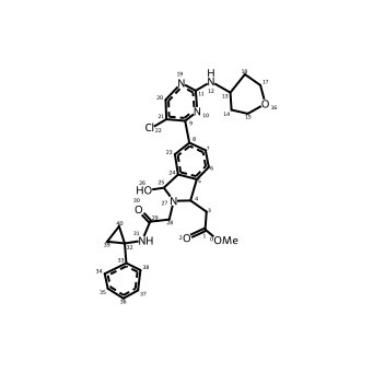 COC(=O)CC1c2ccc(-c3nc(NC4CCOCC4)ncc3Cl)cc2C(O)N1CC(=O)NC1(c2ccccc2)CC1